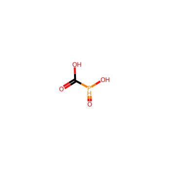 O=C(O)[PH](=O)O